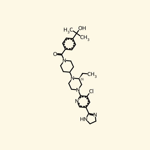 CC[C@H]1CN(c2ncc(C3=NCCN3)cc2Cl)CCN1C1CCN(C(=O)c2ccc(C(C)(C)O)cc2)CC1